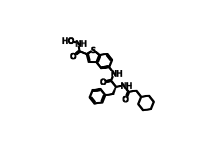 O=C(CC1CCCCC1)N[C@@H](Cc1ccccc1)C(=O)Nc1ccc2sc(C(=O)NO)cc2c1